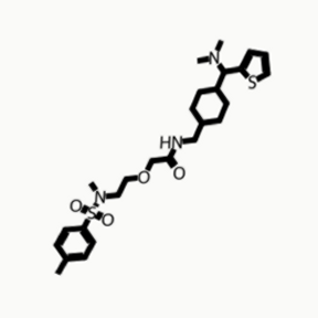 Cc1ccc(S(=O)(=O)N(C)CCOCC(=O)NCC2CCC(C(c3cccs3)N(C)C)CC2)cc1